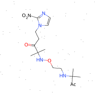 CC(=O)C(C)(C)NCCONC(C)(C)C(=O)CCn1ccnc1[N+](=O)[O-]